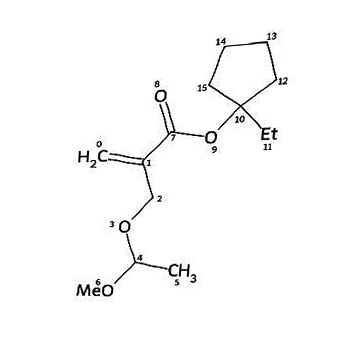 C=C(COC(C)OC)C(=O)OC1(CC)CCCC1